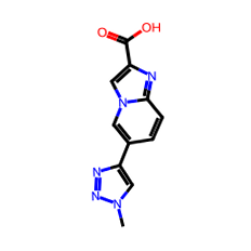 Cn1cc(-c2ccc3nc(C(=O)O)cn3c2)nn1